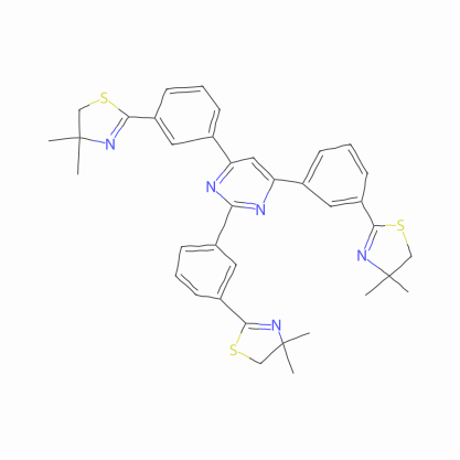 CC1(C)CSC(c2cccc(-c3cc(-c4cccc(C5=NC(C)(C)CS5)c4)nc(-c4cccc(C5=NC(C)(C)CS5)c4)n3)c2)=N1